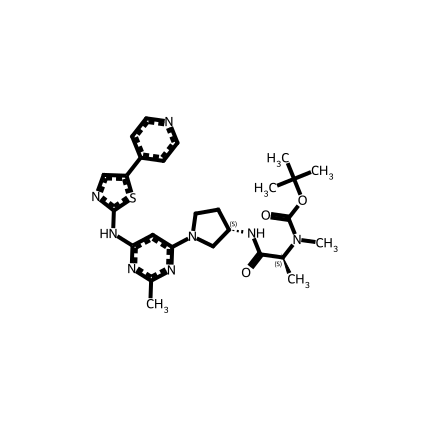 Cc1nc(Nc2ncc(-c3ccncc3)s2)cc(N2CC[C@H](NC(=O)[C@H](C)N(C)C(=O)OC(C)(C)C)C2)n1